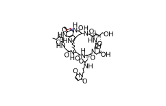 C=C/C=C\c1c(C)[nH]c2c1CC1NC(=O)[C@H]([C@@H](C)[C@@H](C)CO)NC(=O)[C@@H]3C[C@@H](O)CN3C(=O)[C@H](CC(=O)NCCN3C(=O)C=CC3=O)NC(=O)C(CS2)NC(=O)CNC(=O)[C@H]([C@@H](C)CC)NC(=O)CNC1=O